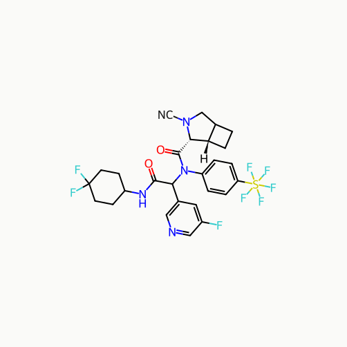 N#CN1CC2CC[C@@H]2[C@@H]1C(=O)N(c1ccc(S(F)(F)(F)(F)F)cc1)C(C(=O)NC1CCC(F)(F)CC1)c1cncc(F)c1